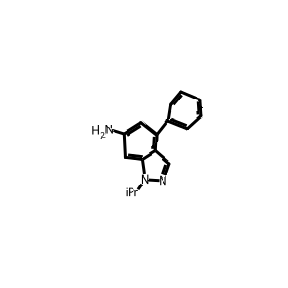 CC(C)n1ncc2c(-c3ccccc3)cc(N)cc21